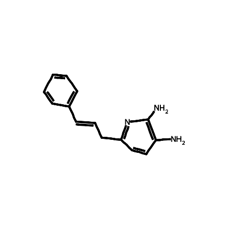 Nc1ccc(CC=Cc2ccccc2)nc1N